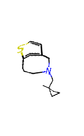 CC1(CN2CCc3sccc3C2)CC1